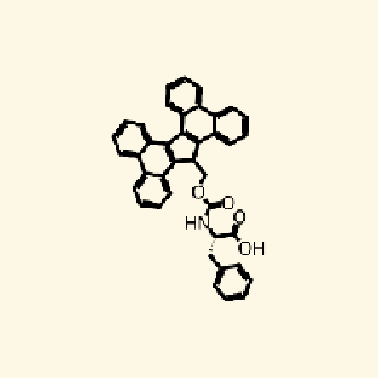 O=C(N[C@@H](Cc1ccccc1)C(=O)O)OCC1c2c(c3ccccc3c3ccccc23)-c2c1c1ccccc1c1ccccc21